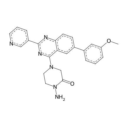 COc1cccc(-c2ccc3nc(-c4cccnc4)nc(N4CCN(N)C(=O)C4)c3c2)c1